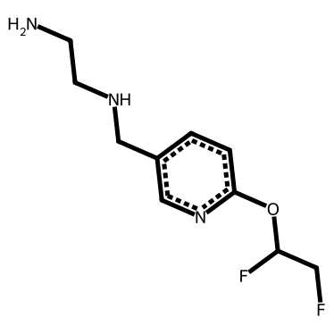 NCCNCc1ccc(OC(F)CF)nc1